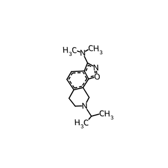 CC(C)N1CCc2ccc3c(N(C)C)noc3c2C1